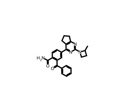 CC1CCN1c1nc2c(c(-c3ccc(C(N)=O)c(C(=O)c4ccccc4)c3)n1)CCC2